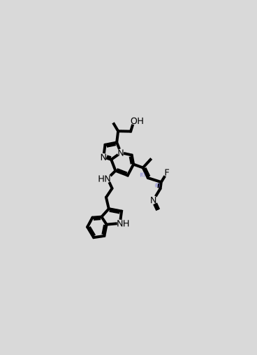 C=N/C=C(F)\C=C(/C)c1cc(NCCc2c[nH]c3ccccc23)c2ncc(C(C)CO)n2c1